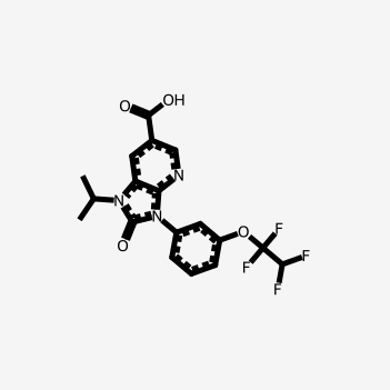 CC(C)n1c(=O)n(-c2cccc(OC(F)(F)C(F)F)c2)c2ncc(C(=O)O)cc21